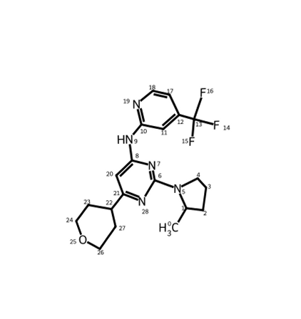 CC1CCCN1c1nc(Nc2cc(C(F)(F)F)ccn2)cc(C2CCOCC2)n1